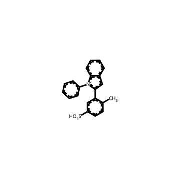 Cc1ccc(S(=O)(=O)O)cc1-c1cc2ccccc2n1-c1ccccc1